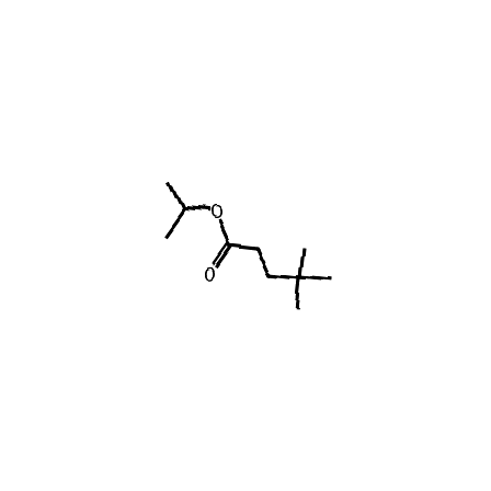 CC(C)OC(=O)CCC(C)(C)C